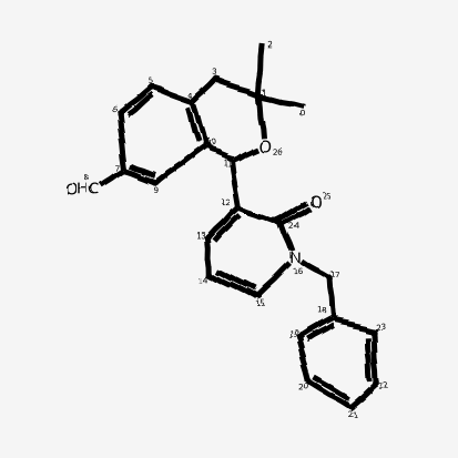 CC1(C)Cc2ccc(C=O)cc2C(c2cccn(Cc3ccccc3)c2=O)O1